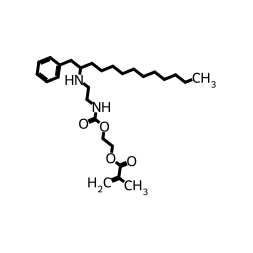 C=C(C)C(=O)OCCOC(=O)NCCNC(CCCCCCCCCCC)Cc1ccccc1